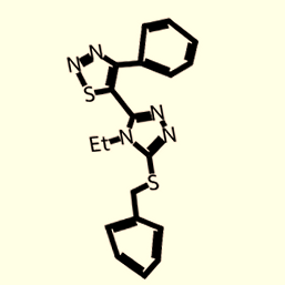 CCn1c(SCc2ccccc2)nnc1-c1snnc1-c1ccccc1